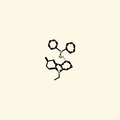 C=C1C=c2c(n(CC)c3ccccc23)=CC1.NN(c1ccccc1)c1ccccc1